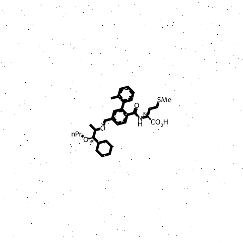 CCCO[C@H](C1CCCCC1)C(C)OCc1ccc(C(=O)N[C@@H](CCSC)C(=O)O)c(-c2ccccc2C)c1